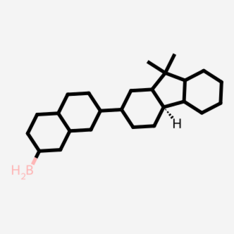 BC1CCC2CCC(C3CC[C@@H]4C5CCCCC5C(C)(C)C4C3)CC2C1